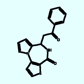 O=C(CC1NC(=O)c2sccc2-n2cccc21)c1ccccc1